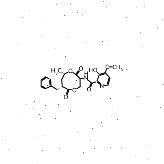 COc1ccnc(C(=O)N[C@H]2COC(=O)[C@H](Cc3ccccc3)C[C@H](C)OC2=O)c1O